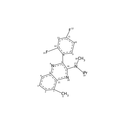 Cc1cccc2nc(-c3ccc(F)cc3F)c(N(C)C(C)C)nc12